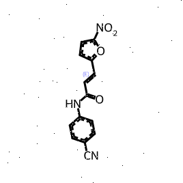 N#Cc1ccc(NC(=O)/C=C/c2ccc([N+](=O)[O-])o2)cc1